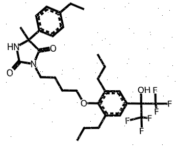 CCCc1cc(C(O)(C(F)(F)F)C(F)(F)F)cc(CCC)c1OCCCCN1C(=O)NC(C)(c2ccc(CC)cc2)C1=O